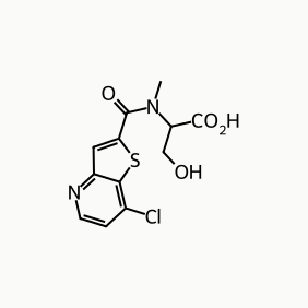 CN(C(=O)c1cc2nccc(Cl)c2s1)C(CO)C(=O)O